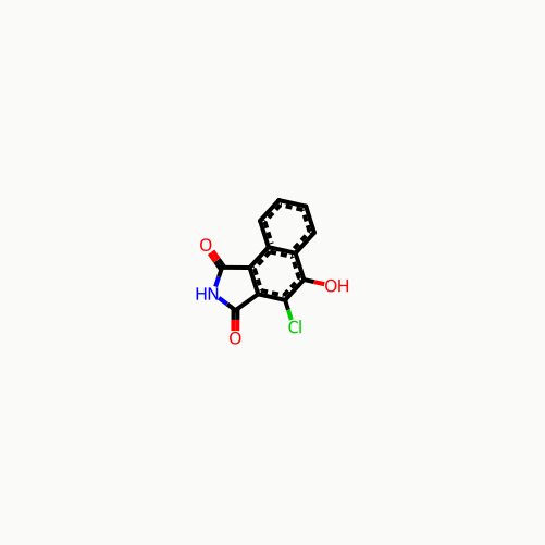 O=C1NC(=O)c2c1c(Cl)c(O)c1ccccc21